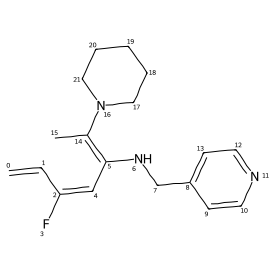 C=C/C(F)=C\C(NCc1ccncc1)=C(/C)N1CCCCC1